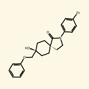 CCc1ccc(N2CC[C@]3(CC[C@@](O)(COc4ccccc4)CC3)C2=O)cc1